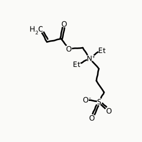 C=CC(=O)OC[N+](CC)(CC)CCCS(=O)(=O)[O-]